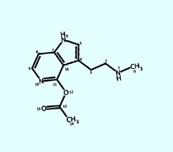 CNCCc1c[nH]c2ccnc(OC(C)=O)c12